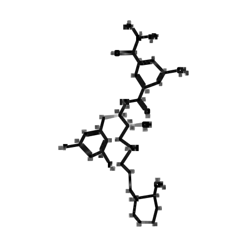 CCCN(CCC)C(=O)c1cc(C)cc(C(=O)N[C@@H](Cc2cc(F)cc(F)c2)[C@H](O)CNCCCN2CCCCC2C)c1